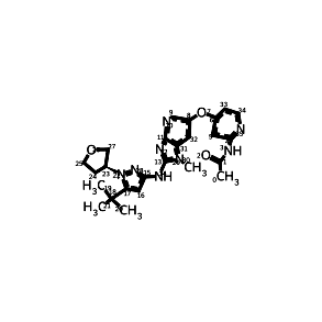 CC(=O)Nc1cc(Oc2cnc3nc(Nc4cc(C(C)(C)C)n([C@H]5CCOC5)n4)n(C)c3c2)ccn1